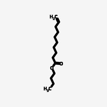 C=CCCCCCCCC(=O)OCCCC